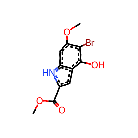 COC(=O)c1cc2c(O)c(Br)c(OC)cc2[nH]1